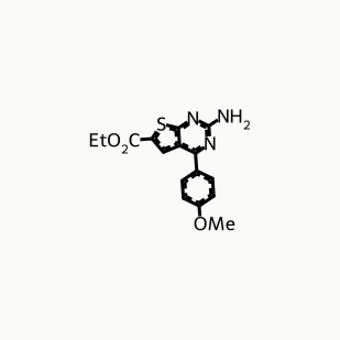 CCOC(=O)c1cc2c(-c3ccc(OC)cc3)nc(N)nc2s1